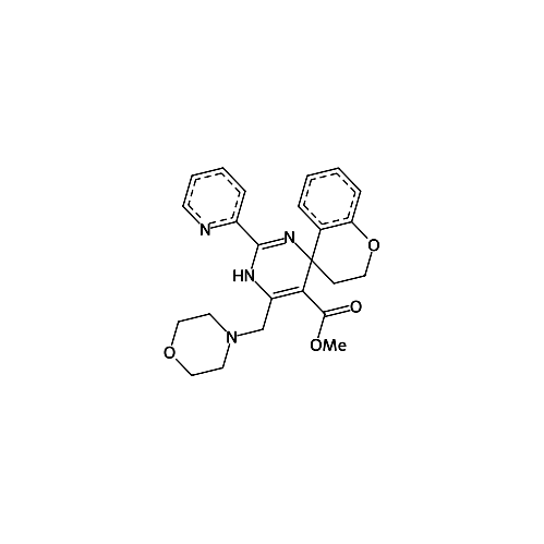 COC(=O)C1=C(CN2CCOCC2)NC(c2ccccn2)=NC12CCOc1ccccc12